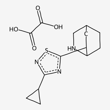 C1CC2NCC1CC2c1nc(C2CC2)ns1.O=C(O)C(=O)O